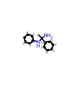 CC(N)(Nc1ccccc1)c1ccccc1